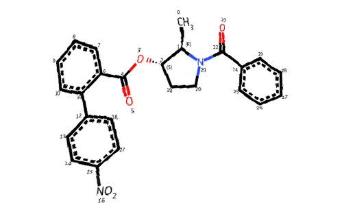 C[C@@H]1[C@@H](OC(=O)c2ccccc2-c2ccc([N+](=O)[O-])cc2)CCN1C(=O)c1ccccc1